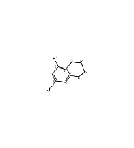 Fc1cc(F)c2c(c1)CC[CH]C2